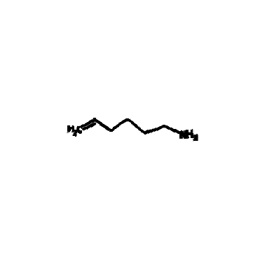 C=CCCCCN